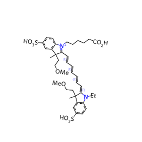 CCN1/C(=C/C=C/C=C/C=C/C2=[N+](CCCCCC(=O)O)c3ccc(S(=O)(=O)O)cc3C2(C)CCOC)C(C)(CCOC)c2cc(S(=O)(=O)O)ccc21